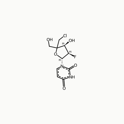 O=c1ccn([C@@H]2OC(CO)(CCl)[C@@H](O)[C@H]2F)c(=O)[nH]1